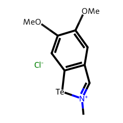 COc1cc2c[n+](C)[te]c2cc1OC.[Cl-]